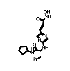 CC(C)C[C@@H](Nc1cnc(/C=C/C(=O)NO)cn1)C(=O)NC1CCCC1